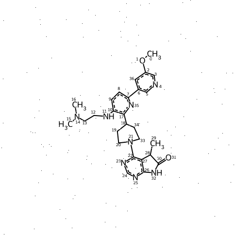 COc1cncc(-c2ccc(NCCN(C)C)c(C3CCN(c4ncnc5c4C(C)C(=O)N5)CC3)n2)c1